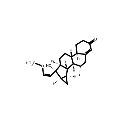 CC[C@]12CC[C@H]3[C@H]([C@@H]1[C@H]1C[C@H]1[C@@]2(O)/C=C\OC(=O)O)[C@@H](C)CC1=CC(=O)CC[C@@H]13